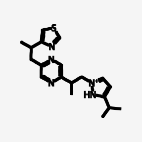 CC(C)c1cc[n+](CC(C)c2cnc(CC(C)c3cscn3)cn2)[nH]1